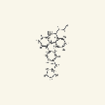 CCCC(Nc1cncc(-c2ccc(CN3CCCC3)cc2)n1)c1ccccc1